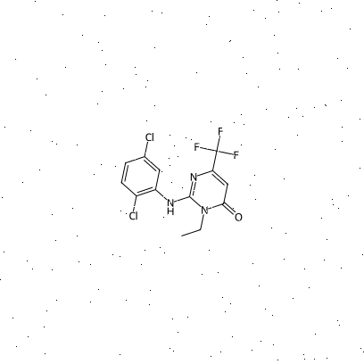 CCn1c(Nc2cc(Cl)ccc2Cl)nc(C(F)(F)F)cc1=O